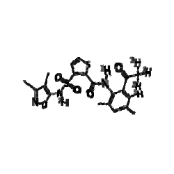 [2H]c1c(C)cc(C)c(N([2H])C(=O)c2sccc2S(=O)(=O)N([2H])c2onc(C)c2C)c1C(=O)C([2H])([2H])[2H]